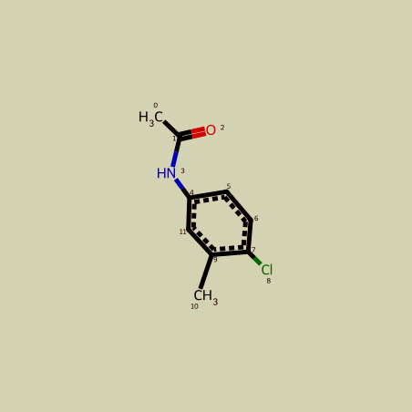 CC(=O)Nc1ccc(Cl)c(C)c1